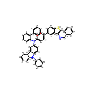 c1ccc(-c2ccccc2N(c2ccc(-c3ccc4sc5c6ccccc6cnc5c4c3)cc2)c2ccc3c(c2)c2ccccc2n3-c2ccccc2)cc1